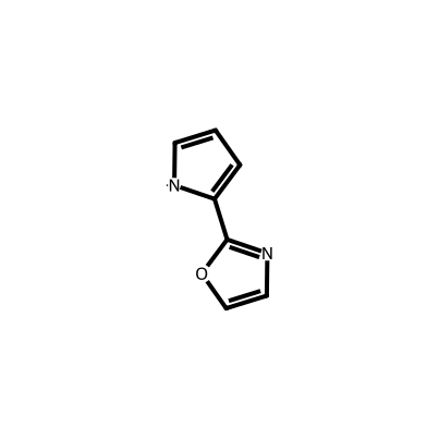 C1=C[N]C(c2ncco2)=C1